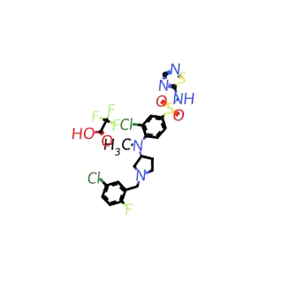 CN(c1ccc(S(=O)(=O)Nc2ncns2)cc1Cl)[C@H]1CCN(Cc2cc(Cl)ccc2F)C1.O=C(O)C(F)(F)F